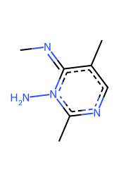 C/N=c1/c(C)cnc(C)n1N